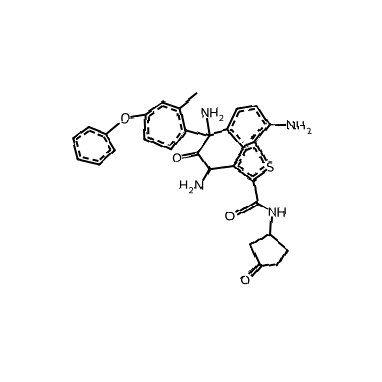 Cc1cc(Oc2ccccc2)ccc1C1(N)C(=O)C(N)c2c(C(=O)NC3CCC(=O)C3)sc3c(N)ccc1c23